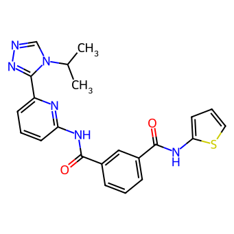 CC(C)n1cnnc1-c1cccc(NC(=O)c2cccc(C(=O)Nc3cccs3)c2)n1